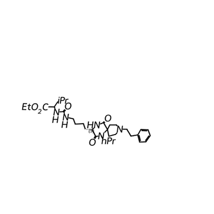 CCCN1C(=O)[C@H](CCCCNC(=O)NC(C(=O)OCC)C(C)C)NC(=O)C12CCN(CCc1ccccc1)CC2